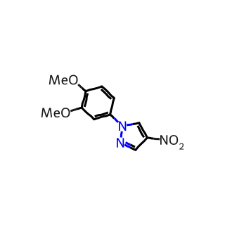 COc1ccc(-n2cc([N+](=O)[O-])cn2)cc1OC